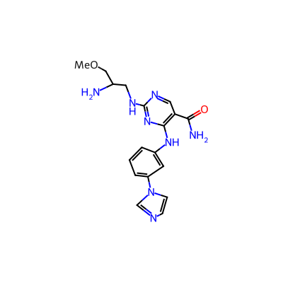 COCC(N)CNc1ncc(C(N)=O)c(Nc2cccc(-n3ccnc3)c2)n1